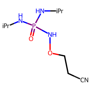 CC(C)NP(=O)(NOCCC#N)NC(C)C